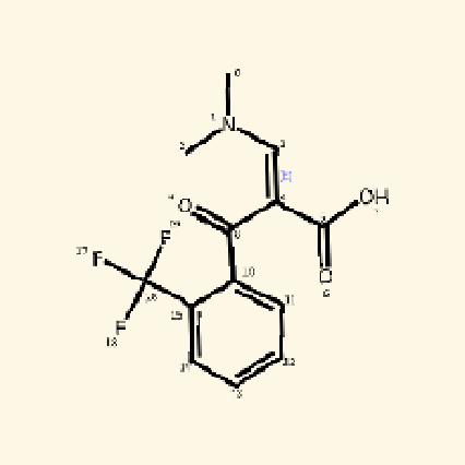 CN(C)/C=C(/C(=O)O)C(=O)c1ccccc1C(F)(F)F